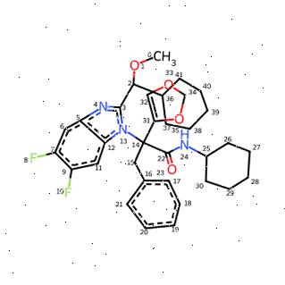 COC(c1nc2cc(F)c(F)cc2n1C(Cc1ccccc1)(C(=O)NC1CCCCC1)C1=COCO1)C1CCCCC1